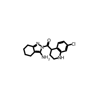 Nc1c2c(nn1C(=O)C1CCNc3cc(Cl)ccc31)CCCC2